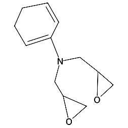 C1=CC(N(CC2CO2)CC2CO2)=CCC1